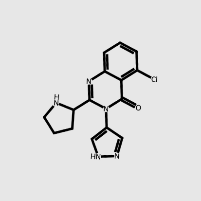 O=c1c2c(Cl)cccc2nc(C2CCCN2)n1-c1cn[nH]c1